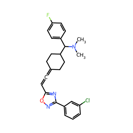 CN(C)C(c1ccc(F)cc1)C1CCC(=C=Cc2nc(-c3cccc(Cl)c3)no2)CC1